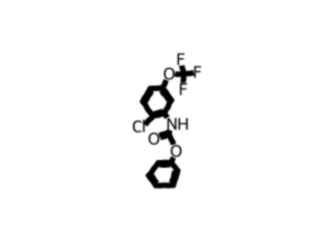 O=C(Nc1cc(OC(F)(F)F)ccc1Cl)Oc1ccccc1